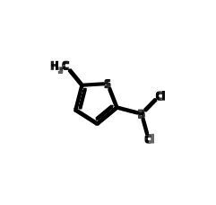 Cc1ccc(B(Cl)Cl)s1